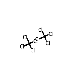 ClC(Cl)(Cl)Cl.ClC(Cl)(Cl)Cl